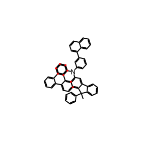 CC1(c2ccccc2)c2ccccc2-c2cc(N(c3cccc(-c4cccc5ccccc45)c3)c3ccccc3-c3ccccc3-c3ccccc3-c3ccccc3)ccc21